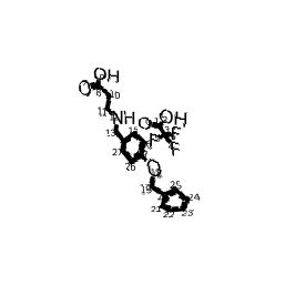 O=C(O)C(F)(F)F.O=C(O)CCNCc1ccc(OCc2ccccc2)cc1